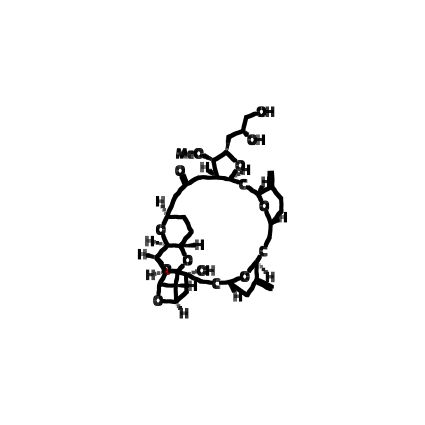 C=C1C[C@@H]2CC[C@@]3(O)C[C@H]4OC5[C@@H]6C(O[C@H]7CC[C@H](CC(=O)C[C@@H]8[C@@H](OC)[C@@H](C[C@H](O)CO)O[C@H]8C[C@H]8O[C@H](CCC8=C)CC[C@@H]1O2)O[C@@H]7[C@@H]6O3)[C@@H]54